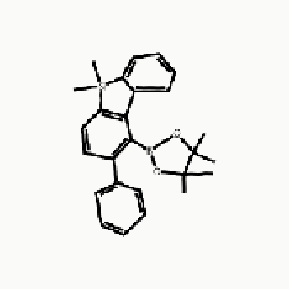 CC1(C)OB(c2c(-c3ccccc3)ccc3c2-c2ccccc2[Si]3(C)C)OC1(C)C